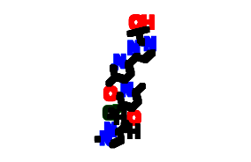 [2H]C([2H])(Oc1cc(C)n(-c2cc(-c3ccnc(C(C)(C)O)n3)ncc2C)c(=O)c1Cl)c1ccn(C)n1